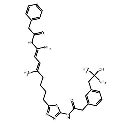 CC(C)(O)Cc1cccc(CC(=O)Nc2nnc(CCCC/C(N)=C/C=C(\N)NC(=O)Cc3ccccc3)s2)c1